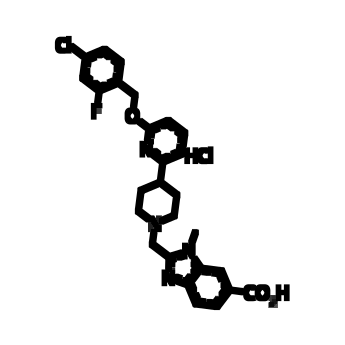 Cl.Cn1c(CN2CCC(c3cccc(OCc4ccc(Cl)cc4F)n3)CC2)nc2ccc(C(=O)O)cc21